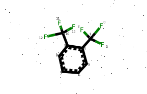 FC(F)(F)c1[c]c[c]cc1C(F)(F)F